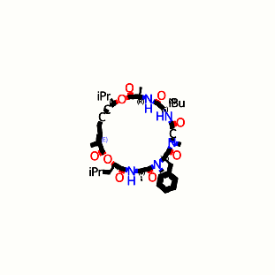 CC[C@H](C)[C@@H]1NC(=O)CN(C)C(=O)[C@@H](Cc2ccccc2)N(C)C(=O)[C@H](C)NC(=O)[C@@H](CC(C)C)OC(=O)/C(C)=C/CCC[C@@H](C(C)C)OC(=O)[C@@H](C)NC1=O